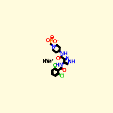 O=C(NC1CCN(CP(=O)([O-])[O-])CC1)c1n[nH]cc1NC(=O)c1c(Cl)cccc1Cl.[Na+].[Na+]